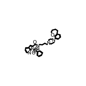 O=C(NCCCCN1CCN(c2cccc3c2OCCCC3)CC1)c1cc2cccnc2n1S(=O)(=O)c1ccccc1